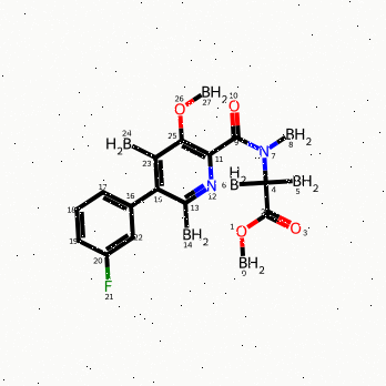 BOC(=O)C(B)(B)N(B)C(=O)c1nc(B)c(-c2cccc(F)c2)c(B)c1OB